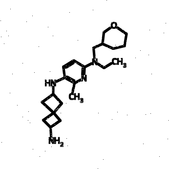 CCN(CC1CCCOC1)c1ccc(NC2CC3(CC(N)C3)C2)c(C)n1